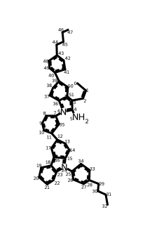 C/C=C\c1c(N)n(-c2cccc(-c3ccc4c(c3)c3ccccc3n4-c3ccc(CCCC)cc3)c2)c2ccc(-c3ccc(CCCC)cc3)cc12